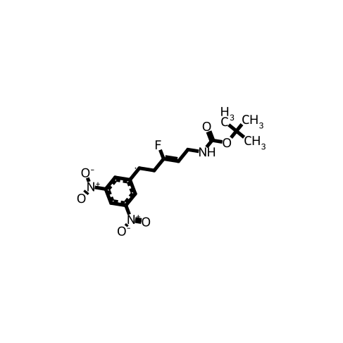 CC(C)(C)OC(=O)NC/C=C(\F)C[CH]c1cc([N+](=O)[O-])cc([N+](=O)[O-])c1